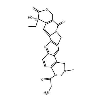 CC[C@@]1(O)C(=O)OCc2c1cc1n(c2=O)Cc2cc3c(CN(C)C)c(NC(=O)CN)ccc3nc2-1